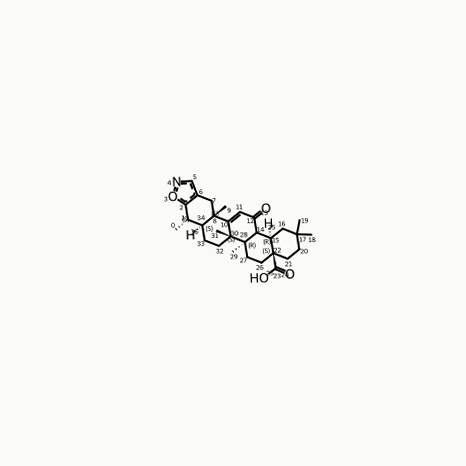 C[C@@H]1c2oncc2C[C@]2(C)C3=CC(=O)C4[C@H]5CC(C)(C)CC[C@]5(C(=O)O)CC[C@@]4(C)[C@]3(C)CC[C@@H]12